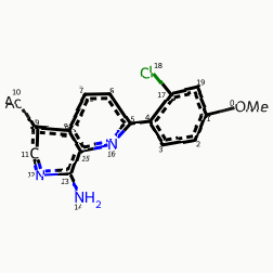 COc1ccc(-c2ccc3c(C(C)=O)cnc(N)c3n2)c(Cl)c1